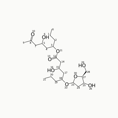 CCCC(CC(O)CC(C)=O)OC(=O)CC(O)CC(CCC)OC1CC(O)[C@H](CO)O1